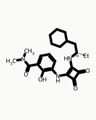 CC[C@@H](CC1CCCCC1)Nc1c(Nc2cccc(C(=O)N(C)C)c2O)c(=O)c1=O